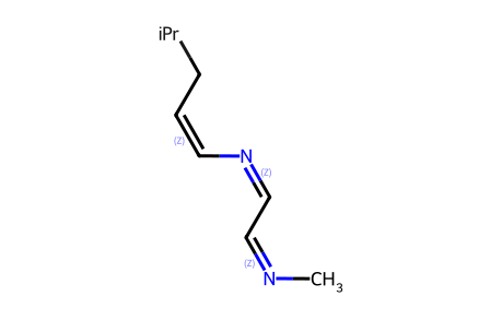 C\N=C/C=N\C=C/CC(C)C